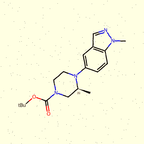 C[C@H]1CN(C(=O)OC(C)(C)C)CCN1c1ccc2c(cnn2C)c1